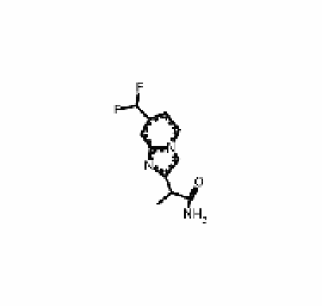 CC(C(N)=O)c1cn2ccc(C(F)F)cc2n1